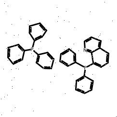 c1ccc(P(c2ccccc2)c2cccc3cccnc23)cc1.c1ccc(P(c2ccccc2)c2ccccc2)cc1